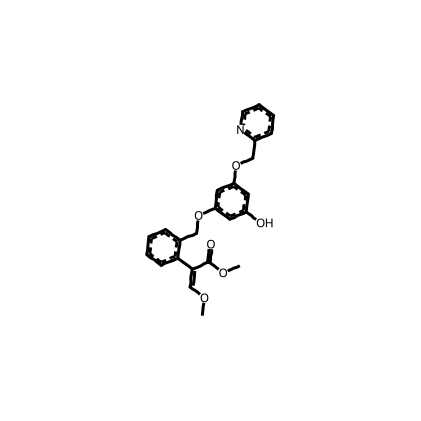 CO/C=C(\C(=O)OC)c1ccccc1COc1cc(O)cc(OCc2ccccn2)c1